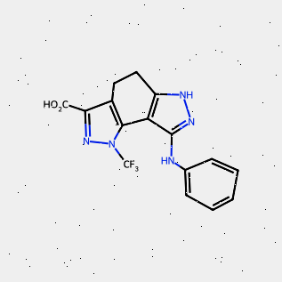 O=C(O)c1nn(C(F)(F)F)c2c1CCc1[nH]nc(Nc3ccccc3)c1-2